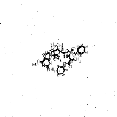 CCOc1nc(N)nc2c1ncn2C1(C)O[C@](F)(COP(=O)(NC(C)C(=O)OC2CCCCC2)Oc2ccccc2)[C@@H](O)[C@@]1(C)O